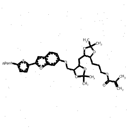 C=C(C)C(=O)OCCCC1OC(C)(C)OC1CC1OC(C)(C)OC1COc1ccc2cc(-c3ccc(CCCCC)s3)oc2c1